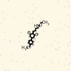 CCONCCCC=C1C(=O)CC(c2ccc(CC)cc2)CC1=O